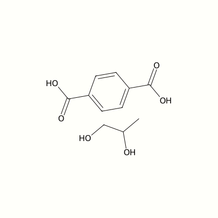 CC(O)CO.O=C(O)c1ccc(C(=O)O)cc1